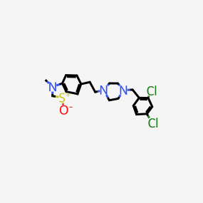 CN1C[S+]([O-])c2cc(CCN3CCN(Cc4ccc(Cl)cc4Cl)CC3)ccc21